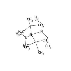 CCN(CC)[Si](N(C)C)(C(C)(C)C)C(C)(C)C